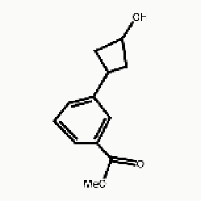 COC(=O)c1cccc(C2CC(O)C2)c1